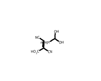 CCCCCCCC(O)O.N#CC=C(C#N)C(=O)O